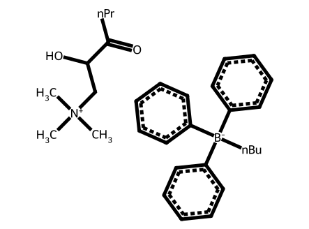 CCCC(=O)C(O)C[N+](C)(C)C.CCCC[B-](c1ccccc1)(c1ccccc1)c1ccccc1